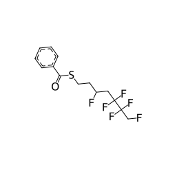 O=C(SCCC(F)CC(F)(F)C(F)(F)CF)c1ccccc1